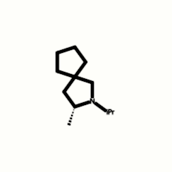 CC(C)N1CC2(CCCC2)C[C@H]1C